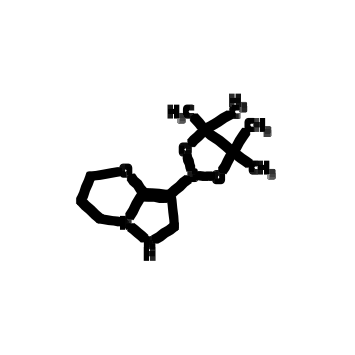 CC1(C)OB(C2=C3OCCCN3NC2)OC1(C)C